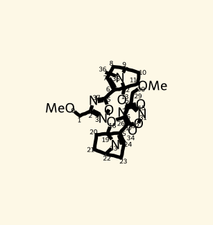 COCc1noc(C2=CCC3CCC2(OC(=O)C(=O)OC24CCC(CC=C2c2nc(COC)no2)N4C)N3C)n1